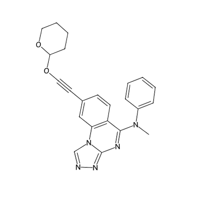 CN(c1ccccc1)c1nc2nncn2c2cc(C#COC3CCCCO3)ccc12